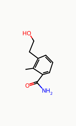 Cc1c(CCO)cccc1C(N)=O